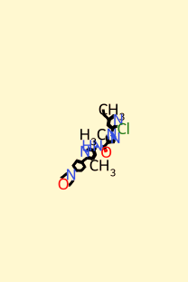 CCc1cnc(Cl)c(-n2ncc(C(=O)Nc3cnc(C4=CCC(N5CCOCC5)CC4)c(C)c3)c2C)c1